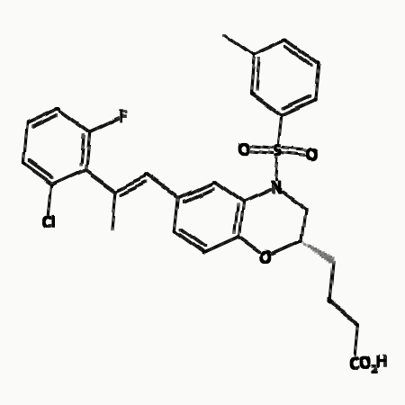 C/C(=C\c1ccc2c(c1)N(S(=O)(=O)c1cccc(C)c1)C[C@H](CCCC(=O)O)O2)c1c(F)cccc1Cl